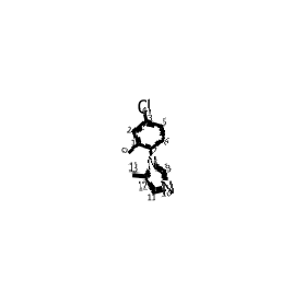 Cc1cc(Cl)ccc1-n1cncc1C